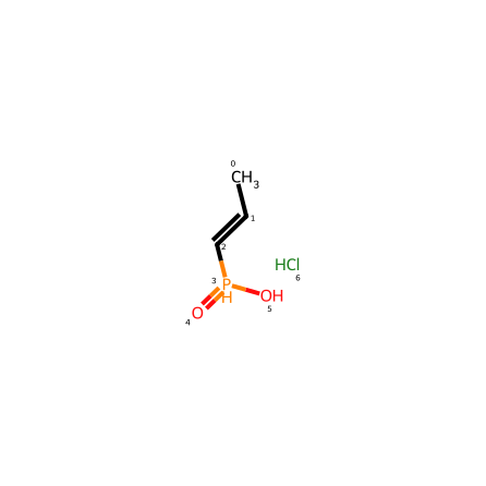 CC=C[PH](=O)O.Cl